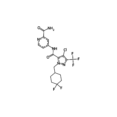 NC(=O)c1cc(NC(=O)c2c(Cl)c(C(F)(F)F)nn2CC2CCC(F)(F)CC2)ccn1